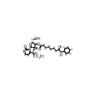 CCOC(=O)Nc1ccnc(=O)n1[C@@H]1O[C@H](CO)[C@@H](OC(=O)CCCCCCC(=O)Nc2ccccc2)C1(F)F